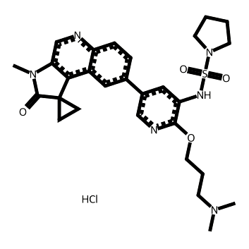 CN(C)CCCOc1ncc(-c2ccc3ncc4c(c3c2)C2(CC2)C(=O)N4C)cc1NS(=O)(=O)N1CCCC1.Cl